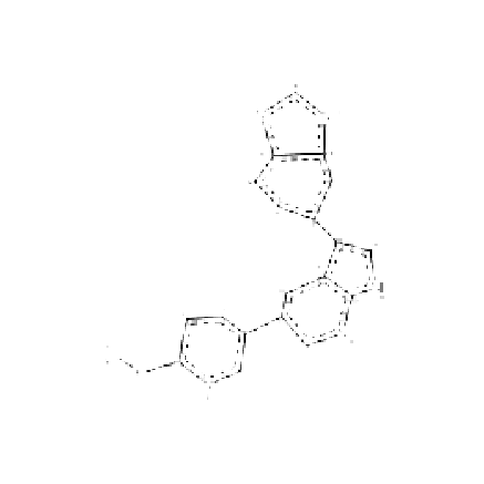 COc1ccc(-c2cnc3[nH]cc(-c4ccc5[nH]cnc5c4)c3c2)cn1